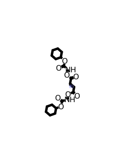 O=C(/C=C/C(=O)ONC(=O)OC1CCCCC1)ONC(=O)OC1CCCCC1